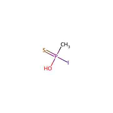 CP(O)(=S)I